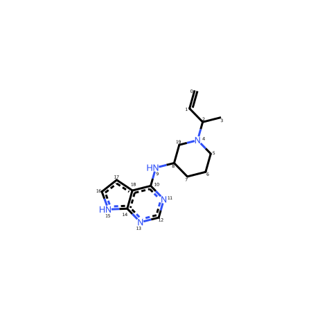 C=CC(C)N1CCCC(Nc2ncnc3[nH]ccc23)C1